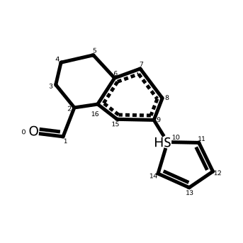 O=CC1CCCc2ccc([SH]3C=CC=C3)cc21